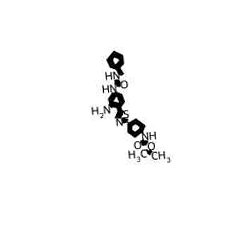 CC(C)OC(=O)N[C@H]1CC[C@H](c2ncc(-c3ccc(NC(=O)NCc4ccccc4)cc3N)s2)CC1